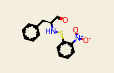 O=[C][C@H](Cc1ccccc1)NSc1ccccc1[N+](=O)[O-]